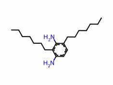 CCCCCCCc1ccc(N)c(CCCCCCC)c1N